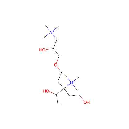 [CH2]C(O)C(CCO)(CCOCC(O)C[N+](C)(C)C)[N+](C)(C)C